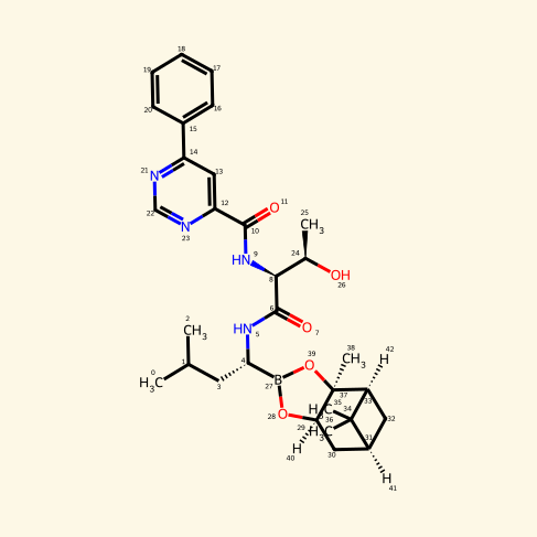 CC(C)C[C@H](NC(=O)[C@@H](NC(=O)c1cc(-c2ccccc2)ncn1)[C@@H](C)O)B1O[C@@H]2C[C@@H]3C[C@@H](C3(C)C)[C@]2(C)O1